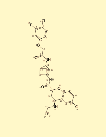 O=C(COc1ccc(Cl)c(F)c1)NC1CC2(NC(=O)[C@H]3C[C@H](NCC(F)(F)F)c4cc(Cl)ccc4O3)CC1C2